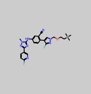 Cn1nc(-c2ccc(F)nc2)nc1Nc1ccc(-c2cn(COCC[Si](C)(C)C)nc2F)c(C#N)c1